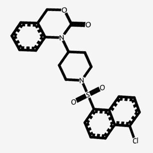 O=C1OCc2ccccc2N1C1CCN(S(=O)(=O)c2cccc3c(Cl)cccc23)CC1